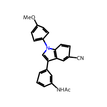 COc1ccc(-n2cc(-c3cccc(NC(C)=O)c3)c3cc(C#N)ccc32)cc1